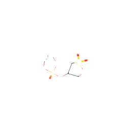 CCCOP(=O)(OCCC)OC1COS(=O)(=O)C1